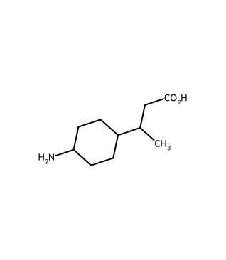 CC(CC(=O)O)C1CCC(N)CC1